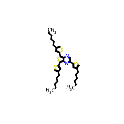 CCCCCCc1csc(-c2cnc3c(-c4cc(CCCCCC)cs4)sc(-c4cc(CCCCCC)cs4)c3n2)c1